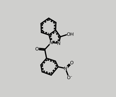 O=C(c1cccc([N+](=O)[O-])c1)n1nc(O)c2ccccc21